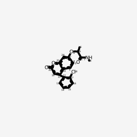 CNC(=O)C(C)Oc1ccc2c(-c3ccccc3Cl)cc(=O)oc2c1